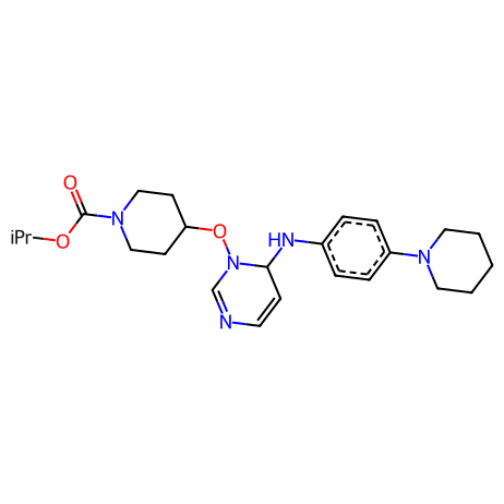 CC(C)OC(=O)N1CCC(ON2C=NC=CC2Nc2ccc(N3CCCCC3)cc2)CC1